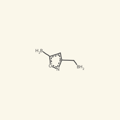 BCc1cc(B)on1